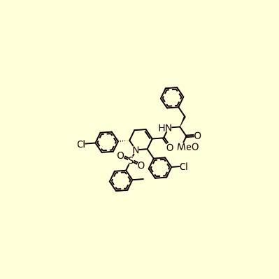 COC(=O)[C@H](Cc1ccccc1)NC(=O)C1=CC[C@@H](c2ccc(Cl)cc2)N(S(=O)(=O)c2ccccc2C)C1c1cccc(Cl)c1